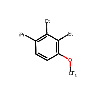 CCc1c(OC(F)(F)F)ccc(C(C)C)c1CC